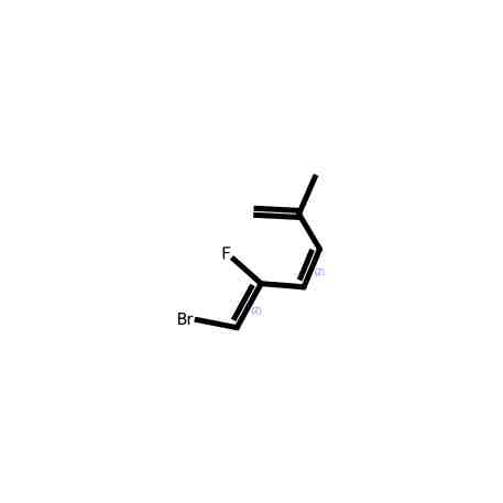 C=C(C)/C=C\C(F)=C\Br